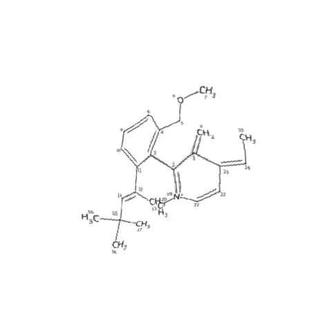 C=c1c(-c2c(COC)cccc2/C(C)=C/C(C)(C)C)[n+](C)cc/c1=C/C